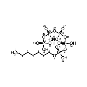 NCCCCCCOP(=O)(O)OP(=O)(O)OP(=O)(O)OP(=O)(O)OP(=O)(O)O